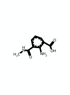 CNC(=O)c1cccc(C(=O)O)c1N